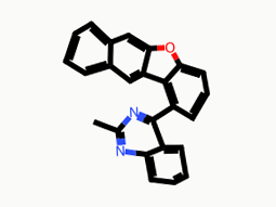 Cc1nc(-c2cccc3oc4cc5ccccc5cc4c23)c2ccccc2n1